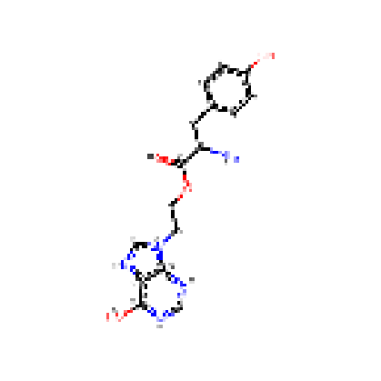 NC(Cc1ccc(O)cc1)C(=O)OCCn1cnc2c(O)ncnc21